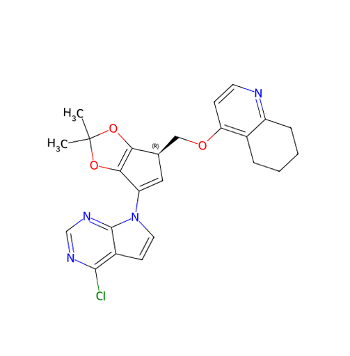 CC1(C)OC2=C(O1)[C@@H](COc1ccnc3c1CCCC3)C=C2n1ccc2c(Cl)ncnc21